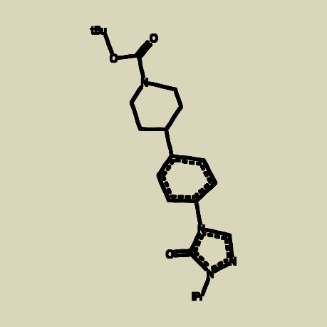 CC(C)n1ncn(-c2ccc(C3CCN(C(=O)OC(C)(C)C)CC3)cc2)c1=O